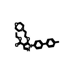 CCOC(=O)c1cnn(-c2ccc(-c3ccc(C)cc3)cc2)c1OCCN1CCOCC1